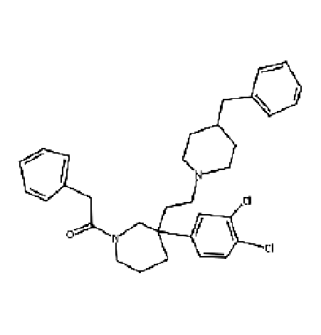 O=C(Cc1ccccc1)N1CCCC(CCN2CCC(Cc3ccccc3)CC2)(c2ccc(Cl)c(Cl)c2)C1